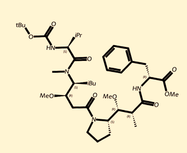 CCC(C)[C@@H]([C@@H](CC(=O)N1CCC[C@H]1[C@H](OC)[C@@H](C)C(=O)N[C@H](Cc1ccccc1)C(=O)OC)OC)N(C)C(=O)[C@@H](NC(=O)OC(C)(C)C)C(C)C